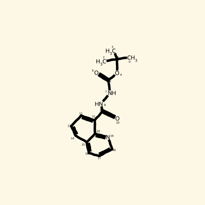 CC(C)(C)OC(=O)NNC(=O)c1cccc2cccnc12